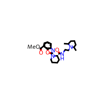 COC(=O)c1cccc2nc(N3CCCC[C@H]3C(=O)NCCN3C(C)CCCC3C)oc12